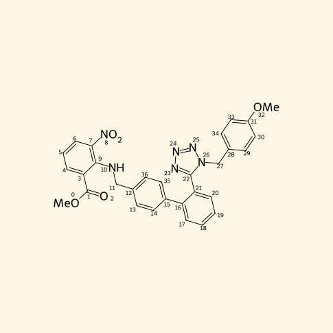 COC(=O)c1cccc([N+](=O)[O-])c1NCc1ccc(-c2ccccc2-c2nnnn2Cc2ccc(OC)cc2)cc1